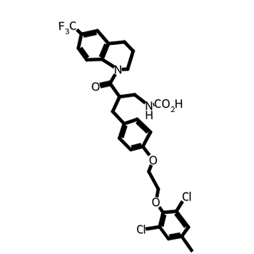 Cc1cc(Cl)c(OCCOc2ccc(CC(CNC(=O)O)C(=O)N3CCCc4cc(C(F)(F)F)ccc43)cc2)c(Cl)c1